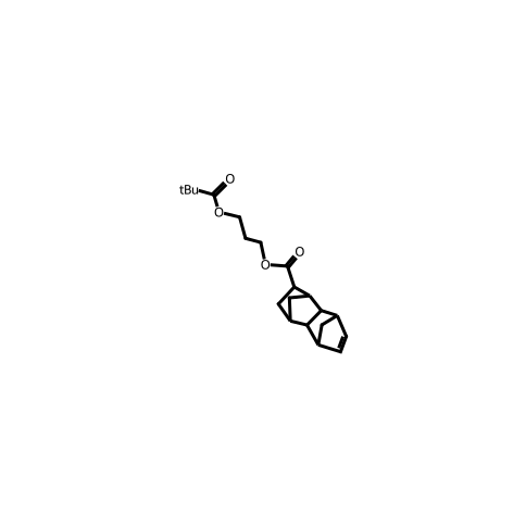 CC(C)(C)C(=O)OCCCOC(=O)C1CC2CC1C1C3C=CC(C3)C21